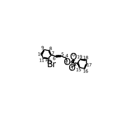 O=S(=O)(OCC#Cc1ccccc1Br)c1ccccc1